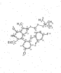 CCOC(=O)c1[nH]c(=O)c2c(C)n(COCC[Si](C)(C)C)cc2c1-c1cc(Cl)ccc1Oc1ccc(F)cc1F